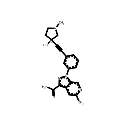 Cc1cc2c(C(N)=O)nn(-c3cccc(C#C[C@]4(O)CCN(C)C4)c3)c2cn1